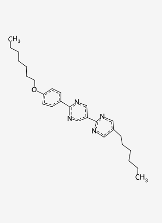 CCCCCCCOc1ccc(-c2ncc(-c3ncc(CCCCCC)cn3)cn2)cc1